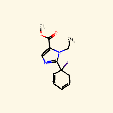 CCn1c(C(=O)OC)cnc1C1(I)C=CC=CC1